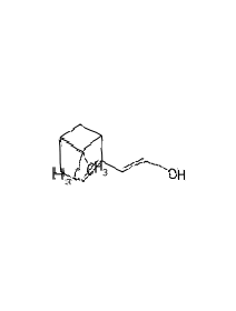 CC1(C)C2CC=C(/C=C/O)C1C2